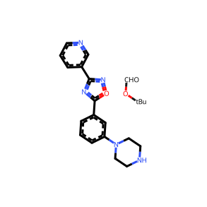 CC(C)(C)OC=O.c1cncc(-c2noc(-c3cccc(N4CCNCC4)c3)n2)c1